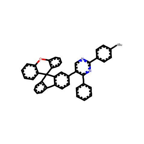 CC(C)(C)c1ccc(-c2ncc(-c3ccc4c(c3)C3(c5ccccc5Oc5ccccc53)c3ccccc3-4)c(-c3ccccc3)n2)cc1